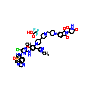 COc1cc(N2CCC(C3CCN(CC4CCN(c5ccc6c(c5)C(=O)N(C5CCC(=O)NC5=O)C6=O)CC4)CC3)CC2)c(-c2cnn(C)c2)cc1Nc1ncc(Cl)c(Nc2ccc3nccnc3c2P(C)(C)=O)n1.O=C(O)C(F)(F)F